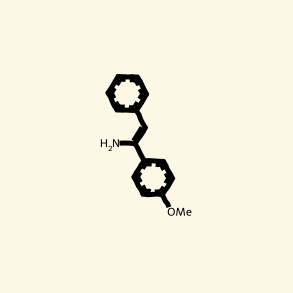 COc1ccc(C(N)=Cc2ccccc2)cc1